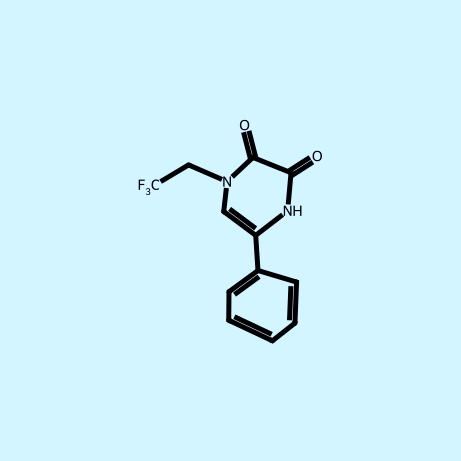 O=c1[nH]c(-c2ccccc2)cn(CC(F)(F)F)c1=O